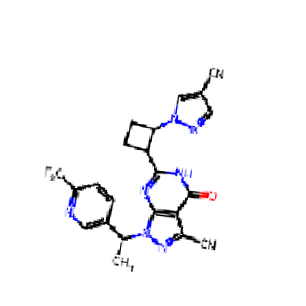 C[C@@H](c1ccc(C(F)(F)F)nc1)n1nc(C#N)c2c(=O)[nH]c(C3CCC3n3cc(C#N)cn3)nc21